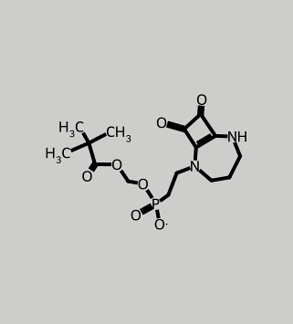 CC(C)(C)C(=O)OCOP([O])(=O)CCN1CCCNc2c1c(=O)c2=O